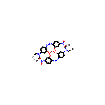 CCN(CC)c1ccc2c(c1)[O][Co]1([O]c3cc(N(CC)CC)ccc3N=Nc3ccc([N+](=O)[O-])cc3[O]1)[O]c1cc([N+](=O)[O-])ccc1N=N2